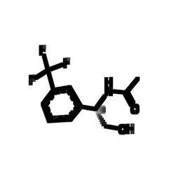 CC(=O)N[C@H](CO)c1cccc(C(F)(F)F)c1